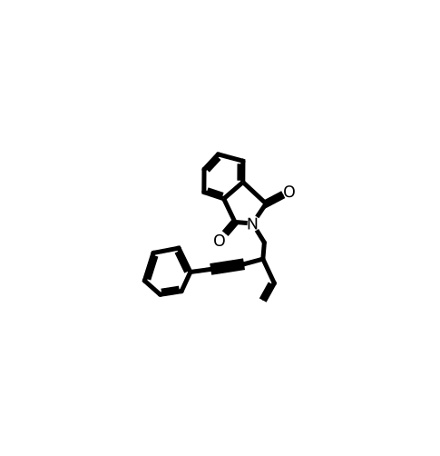 C=CC(C#Cc1ccccc1)CN1C(=O)c2ccccc2C1=O